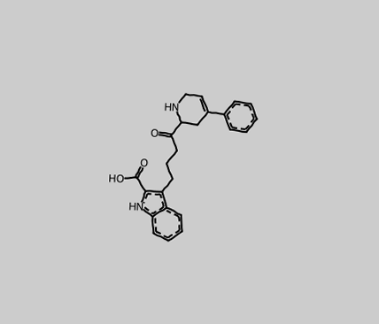 O=C(O)c1[nH]c2ccccc2c1CCCC(=O)C1CC(c2ccccc2)=CCN1